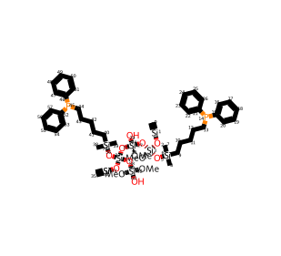 C#[Si]O[Si](OC)(O[Si](C)(C)CCCCCP(c1ccccc1)c1ccccc1)O[Si@](O)(OC)O[Si](O[Si]#C)(O[Si](C)(C)CCCCCP(c1ccccc1)c1ccccc1)O[Si](O)(OC)OC